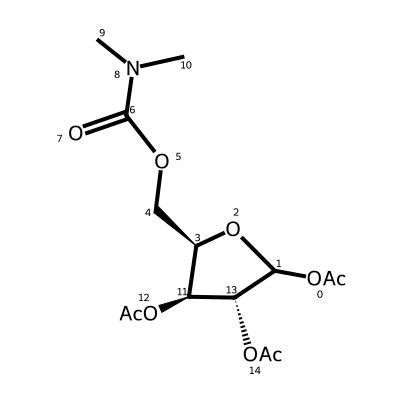 CC(=O)OC1O[C@H](COC(=O)N(C)C)[C@H](OC(C)=O)[C@H]1OC(C)=O